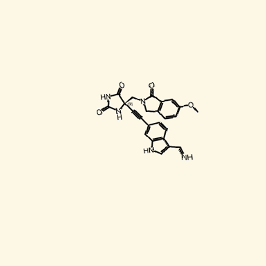 COc1ccc2c(c1)C(=O)N(C[C@@]1(C#Cc3ccc4c(C=N)c[nH]c4c3)NC(=O)NC1=O)C2